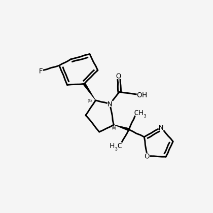 CC(C)(c1ncco1)[C@H]1CC[C@@H](c2cccc(F)c2)N1C(=O)O